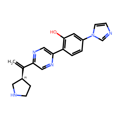 C=C(c1cnc(-c2ccc(-n3ccnc3)cc2O)cn1)[C@H]1CCNC1